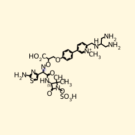 C[n+]1cc(-c2ccc(OCC(O/N=C(\C(=O)N[C@@H]3C(=O)N(OS(=O)(=O)O)C3(C)C)c3csc(N)n3)C(=O)O)cc2)ccc1CNC(CN)CN